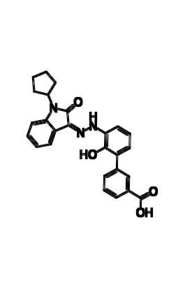 O=C(O)c1cccc(-c2cccc(N/N=C3\C(=O)N(C4CCCC4)c4ccccc43)c2O)c1